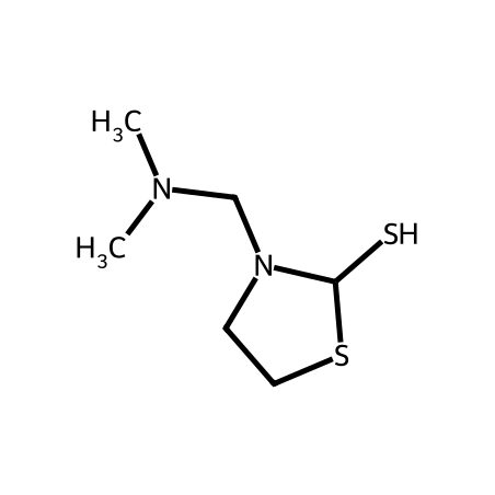 CN(C)CN1CCSC1S